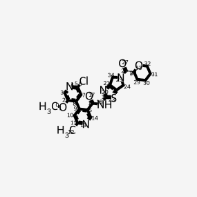 COc1cnc(Cl)cc1-c1cc(C)ncc1C(=O)Nc1nc2c(s1)CN(C(=O)[C@H]1CCCCO1)C2